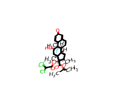 CC(C)OC(=O)[C@@]1(OC(=O)C(Cl)Cl)[C@@H](C)C[C@H]2[C@@H]3CCC4=CC(=O)C=C[C@]4(C)[C@@]3(F)[C@@H](O)C[C@@]21C